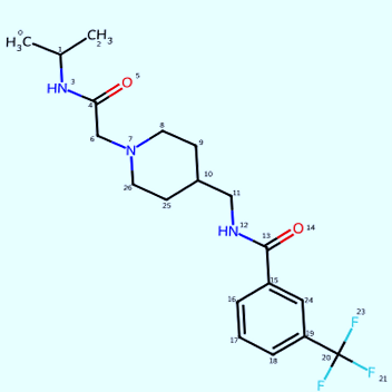 CC(C)NC(=O)CN1CCC(CNC(=O)c2cccc(C(F)(F)F)c2)CC1